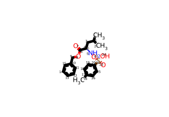 CC(C)C[C@H](N)C(=O)OCc1ccccc1.Cc1ccc(S(=O)(=O)O)cc1